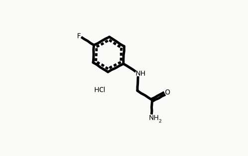 Cl.NC(=O)CNc1ccc(F)cc1